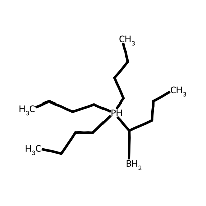 BC(CCC)[PH](CCCC)(CCCC)CCCC